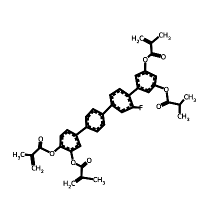 C=C(C)C(=O)Oc1cc(OC(=O)C(C)C)cc(-c2ccc(-c3ccc(-c4ccc(OC(=O)C(=C)C)c(OC(=O)C(=C)C)c4)cc3)cc2F)c1